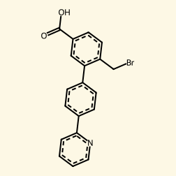 O=C(O)c1ccc(CBr)c(-c2ccc(-c3ccccn3)cc2)c1